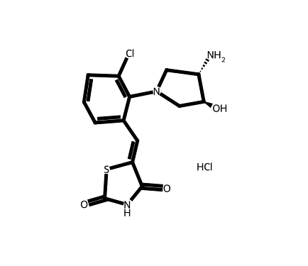 Cl.N[C@H]1CN(c2c(Cl)cccc2/C=C2\SC(=O)NC2=O)C[C@@H]1O